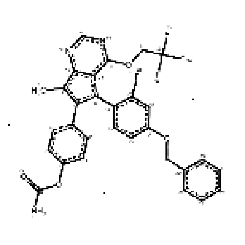 Cc1c(-c2ccc(OC(N)=O)cc2)n(-c2ccc(OCc3ccccc3)cc2F)c2c(OCC(F)(F)F)ncnc12